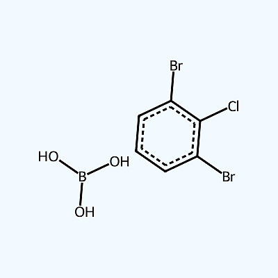 Clc1c(Br)cccc1Br.OB(O)O